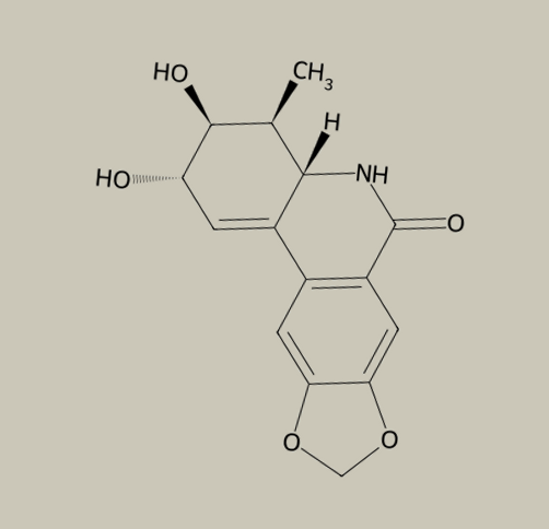 C[C@@H]1[C@H](O)[C@@H](O)C=C2c3cc4c(cc3C(=O)N[C@H]21)OCO4